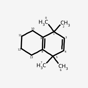 CC1(C)C=CC(C)(C)C2=C1CCCC2